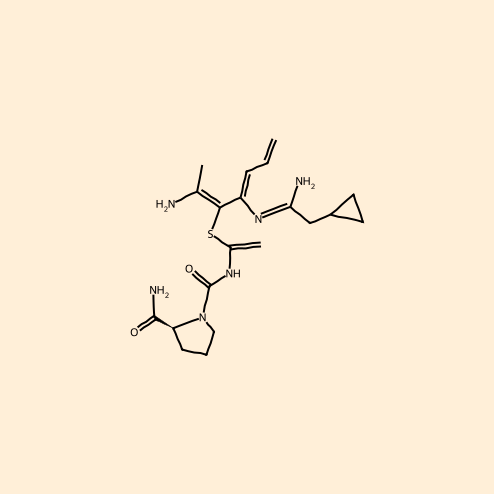 C=C/C=C(\N=C(/N)CC1CC1)C(/SC(=C)NC(=O)N1CCC[C@H]1C(N)=O)=C(\C)N